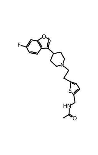 CC(=O)NCc1ccc(CCN2CCC(c3noc4cc(F)ccc34)CC2)s1